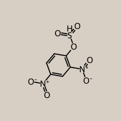 O=[N+]([O-])c1ccc(O[SH](=O)=O)c([N+](=O)[O-])c1